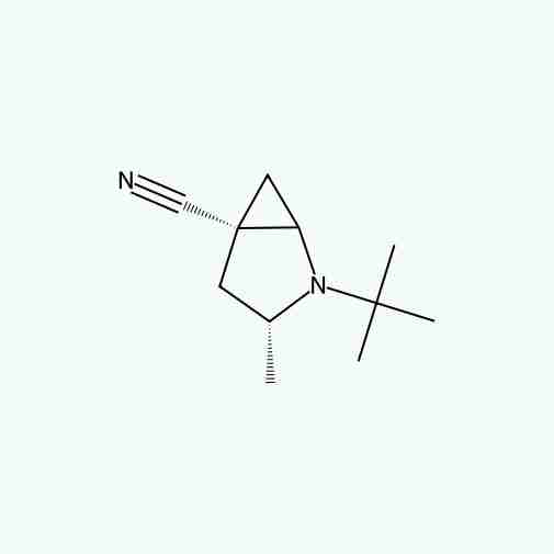 C[C@@H]1C[C@@]2(C#N)CC2N1C(C)(C)C